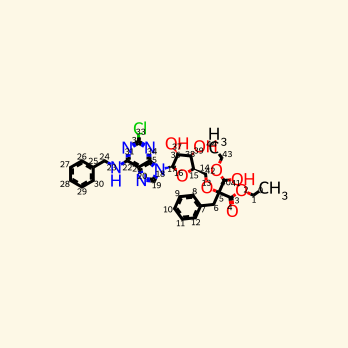 CCOC(=O)C(Cc1ccccc1)(OC[C@H]1O[C@@H](n2cnc3c(NCc4ccccc4)nc(Cl)nc32)[C@H](O)[C@@H]1O)C(O)OCC